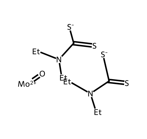 CCN(CC)C(=S)[S-].CCN(CC)C(=S)[S-].[O]=[Mo+2]